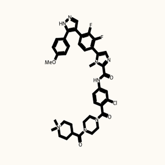 COc1ccc(-c2[nH]ncc2-c2ccc(-c3cnc(C(=O)Nc4ccc(C(=O)N5CCN(C(=O)C6CC[N+](C)(C)CC6)CC5)c(Cl)c4)n3C)c(F)c2F)cc1